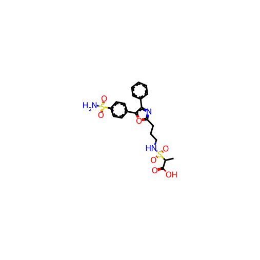 CC(C(=O)O)S(=O)(=O)NCCCc1nc(-c2ccccc2)c(-c2ccc(S(N)(=O)=O)cc2)o1